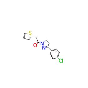 O=C(Cc1cccs1)N1CCC(c2ccc(Cl)cc2)=N1